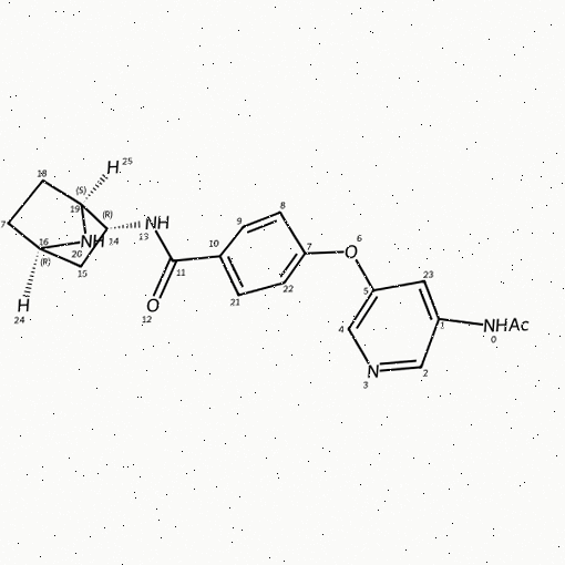 CC(=O)Nc1cncc(Oc2ccc(C(=O)N[C@@H]3C[C@H]4CC[C@@H]3N4)cc2)c1